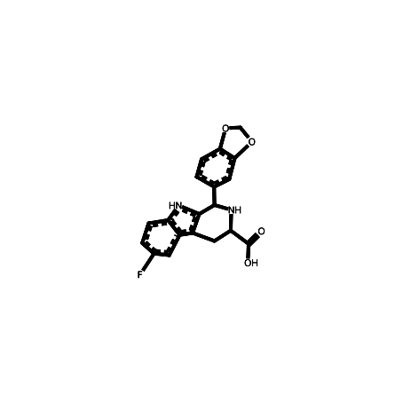 O=C(O)C1Cc2c([nH]c3ccc(F)cc23)C(c2ccc3c(c2)OCO3)N1